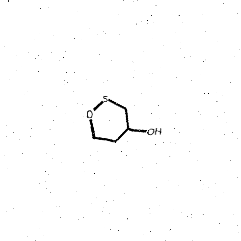 OC1CCOSC1